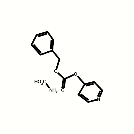 NC(=O)O.O=C(OCc1ccccc1)Oc1ccncc1